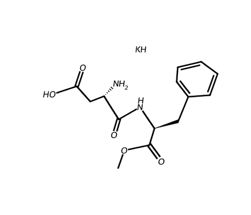 COC(=O)[C@H](Cc1ccccc1)NC(=O)[C@@H](N)CC(=O)O.[KH]